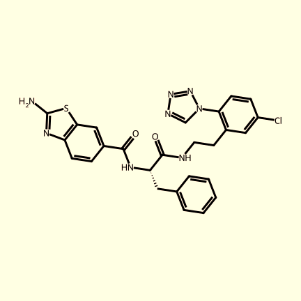 Nc1nc2ccc(C(=O)N[C@@H](Cc3ccccc3)C(=O)NCCc3cc(Cl)ccc3-n3cnnn3)cc2s1